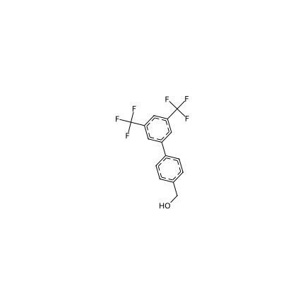 OCc1ccc(-c2cc(C(F)(F)F)cc(C(F)(F)F)c2)cc1